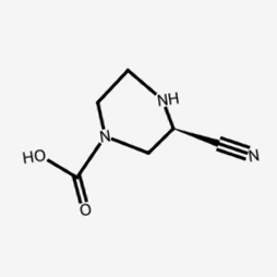 N#C[C@H]1CN(C(=O)O)CCN1